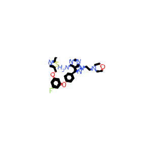 Cc1ncc(COc2cc(F)cc(Oc3ccc(-c4nn(CCN5CCOCC5)c5ncnc(N)c45)cc3)c2)s1